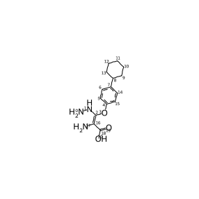 NN/C(Oc1ccc(C2CCCCC2)cc1)=C(\N)C(=O)O